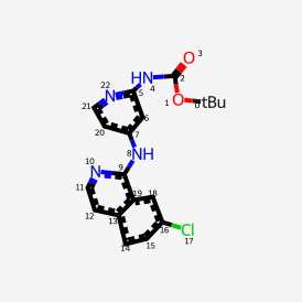 CC(C)(C)OC(=O)Nc1cc(Nc2nccc3ccc(Cl)cc23)ccn1